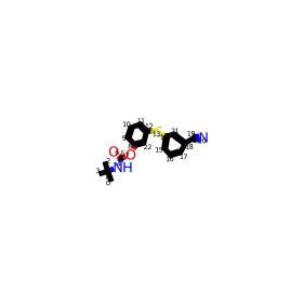 CC(C)(C)NC(=O)Oc1cccc(Sc2cccc(C#N)c2)c1